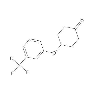 O=C1CCC(Oc2cccc(C(F)(F)F)c2)CC1